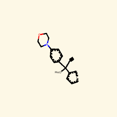 C#CC(OC)(c1ccccc1)c1ccc(N2CCOCC2)cc1